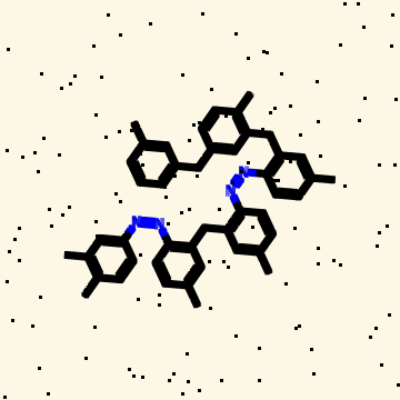 Cc1cccc(Cc2ccc(C)c(Cc3cc(C)ccc3N=Nc3ccc(C)cc3Cc3cc(C)ccc3N=Nc3ccc(C)c(C)c3)c2)c1